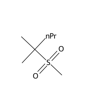 CCCC(C)(C)S(C)(=O)=O